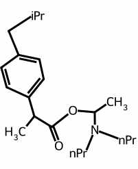 CCCN(CCC)C(C)OC(=O)C(C)c1ccc(CC(C)C)cc1